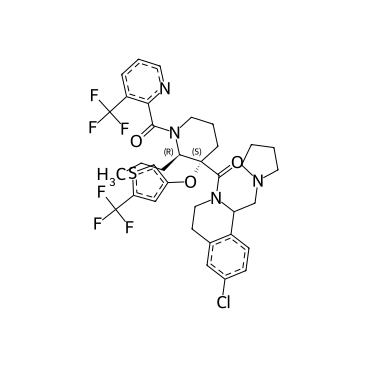 CCC[C@H]1N(C(=O)c2ncccc2C(F)(F)F)CCC[C@@]1(Oc1csc(C(F)(F)F)c1)C(=O)N1CCc2cc(Cl)ccc2C1CN1CCCC1